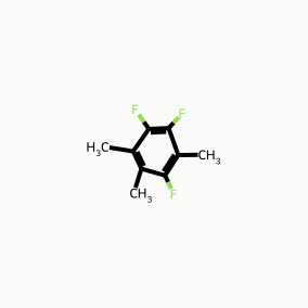 Cc1c(C)c(F)c(F)c(C)c1F